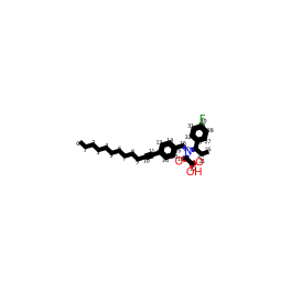 CCCCCCCCCCC#Cc1ccc(CN(C(=O)C(=O)O)C(CC)c2ccc(F)cc2)cc1